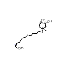 CCCCCCCC/C=C\CCCCCCCCO[C@]1(C)CC[C@@H](C(C)C)[C@H](O)C1